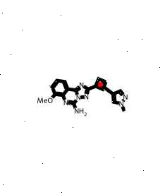 COc1cccc2c1nc(N)n1nc(C34CC(C3)N(c3cnn(C)c3)C4)nc21